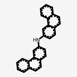 c1ccc2c(c1)ccc1ccc(Nc3ccc4ccc5ccccc5c4c3)cc12